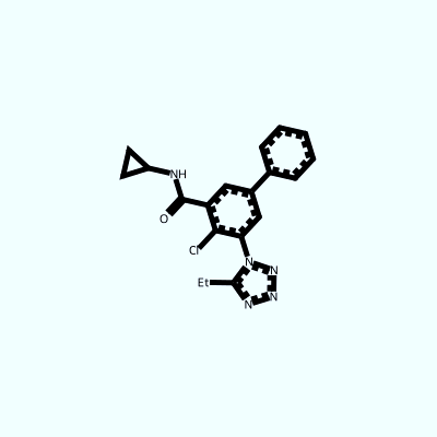 CCc1nnnn1-c1cc(-c2ccccc2)cc(C(=O)NC2CC2)c1Cl